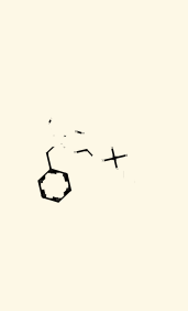 CO[Si](Cc1ccccc1)(OC)OCOC(C)(C)C